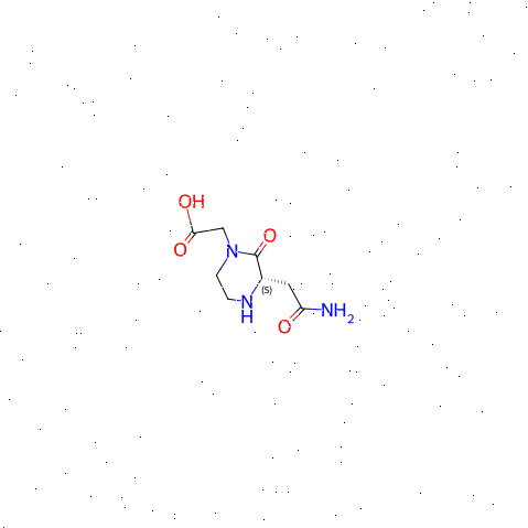 NC(=O)C[C@@H]1NCCN(CC(=O)O)C1=O